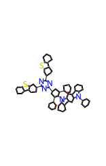 c1ccc(-c2cc(-c3nc(-c4ccc5c(c4)sc4ccccc45)nc(-c4ccc5c(c4)sc4ccccc45)n3)cc(-c3ccccc3)c2-n2c3ccccc3c3cc4c(cc32)c2ccccc2n4-c2ccccc2)cc1